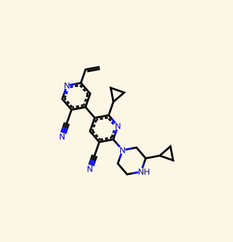 C=Cc1cc(-c2cc(C#N)c(N3CCNC(C4CC4)C3)nc2C2CC2)c(C#N)cn1